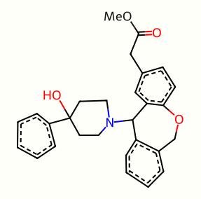 COC(=O)Cc1ccc2c(c1)C(N1CCC(O)(c3ccccc3)CC1)c1ccccc1CO2